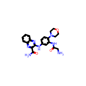 NCC(=O)Nc1cc(Nc2nc3ccccc3nc2C(N)=O)ccc1N1CCOCC1